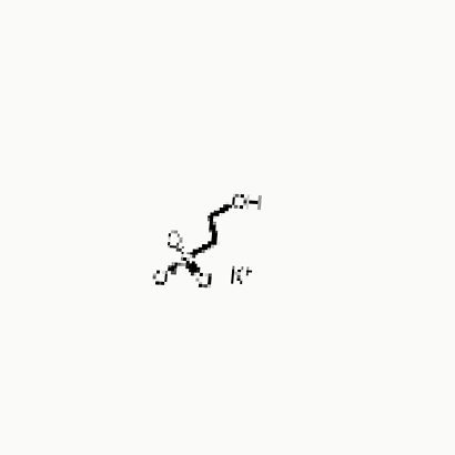 O=S(=O)([O-])CCO.[K+]